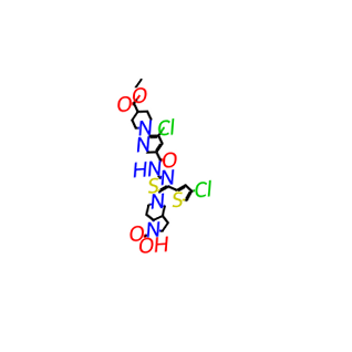 CCOC(=O)C1CCN(c2ncc(C(=O)Nc3nc(-c4cc(Cl)cs4)c(N4CCC5C(CCN5C(=O)O)C4)s3)cc2Cl)CC1